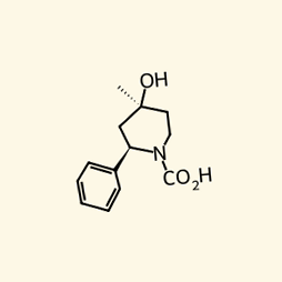 C[C@]1(O)CCN(C(=O)O)[C@@H](c2ccccc2)C1